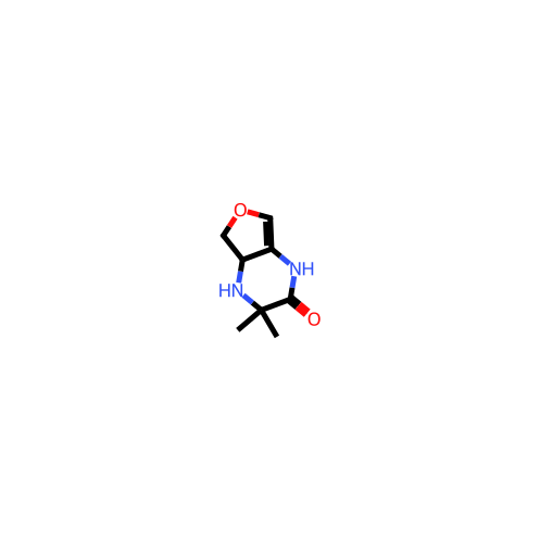 CC1(C)NC2COC=C2NC1=O